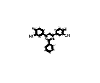 N#Cc1cc(-c2cc(-c3ccc(F)c(C#N)c3)nc(-c3ccccc3)n2)ccc1F